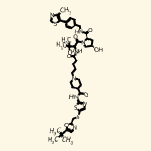 Cc1ncsc1-c1ccc(CNC(=O)[C@H]2C[C@@H](O)CN2C(=O)C(NC(=O)CCCCN2CCC(C(=O)Nc3ncc(SCc4ncc(C(C)(C)C)o4)s3)CC2)C(C)(C)C)cc1